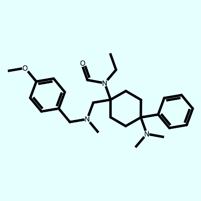 CCN(C=O)C1(CN(C)Cc2ccc(OC)cc2)CCC(c2ccccc2)(N(C)C)CC1